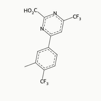 Cc1cc(-c2cc(C(F)(F)F)nc(C(=O)O)n2)ccc1C(F)(F)F